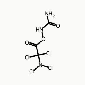 NC(=O)NOC(=O)C(Cl)(Cl)N(Cl)Cl